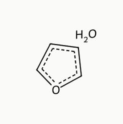 O.c1ccoc1